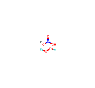 FOOF.O=[N+]([O-])O.[H+]